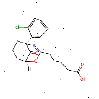 O=C(O)CCCCC1=N[C@]2(c3ccccc3Cl)CCC[C@H](O1)C2=O